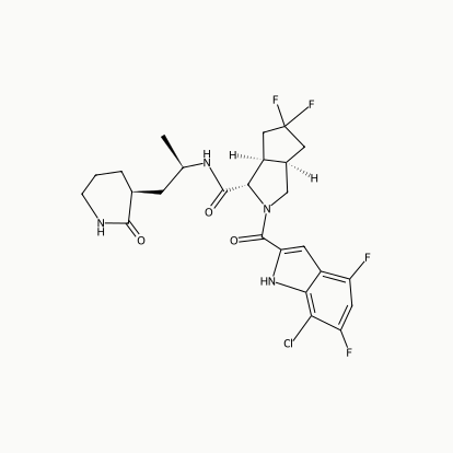 C[C@H](C[C@@H]1CCCNC1=O)NC(=O)[C@@H]1[C@H]2CC(F)(F)C[C@H]2CN1C(=O)c1cc2c(F)cc(F)c(Cl)c2[nH]1